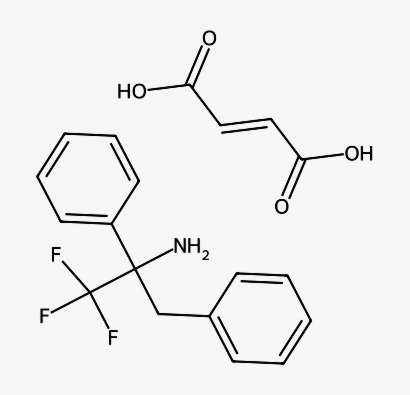 NC(Cc1ccccc1)(c1ccccc1)C(F)(F)F.O=C(O)C=CC(=O)O